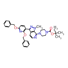 Cn1nc(-c2ccc(OCc3ccccc3)nc2OCc2ccccc2)c2ccnc(N3CCN(C(=O)OC(C)(C)C)CC3)c21